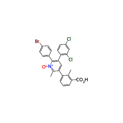 Cc1c(C(=O)O)cccc1-c1cc(-c2ccc(Cl)cc2Cl)c(-c2ccc(Br)cc2)[n+]([O-])c1C